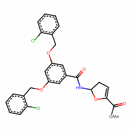 COC(=O)C1=CCC(NC(=O)c2cc(OCc3ccccc3Cl)cc(OCc3ccccc3Cl)c2)O1